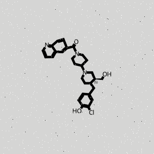 O=C(c1ccc2ncccc2c1)N1CCC(N2CCC(Cc3ccc(O)c(Cl)c3)[C@H](CO)C2)CC1